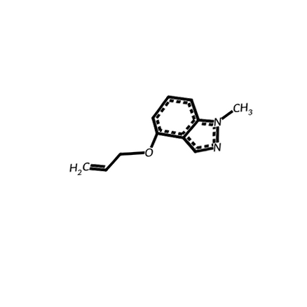 C=CCOc1cccc2c1cnn2C